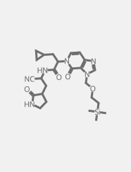 C[Si](C)(C)CCOCn1cnc2ccn(C(CC3CC3)C(=O)NC(C#N)CC3CCNC3=O)c(=O)c21